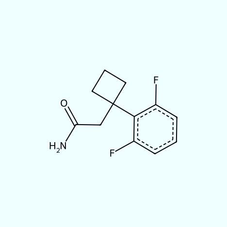 NC(=O)CC1(c2c(F)cccc2F)CCC1